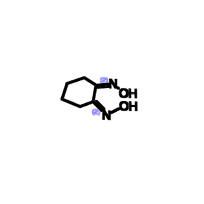 O/N=C1/CCCC/C1=N/O